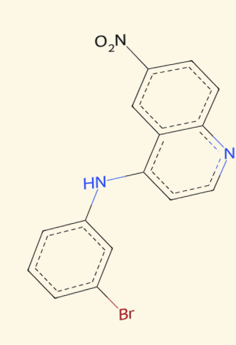 O=[N+]([O-])c1ccc2nccc(Nc3cccc(Br)c3)c2c1